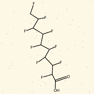 O=C(O)C(F)C(F)C(F)C(F)C(F)C(F)C(F)C(F)CF